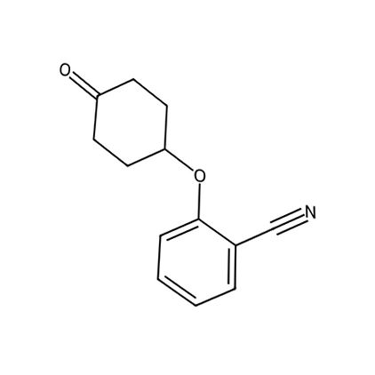 N#Cc1ccccc1OC1CCC(=O)CC1